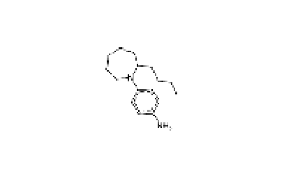 CCCCC1CCCCCN1c1ccc(N)cc1